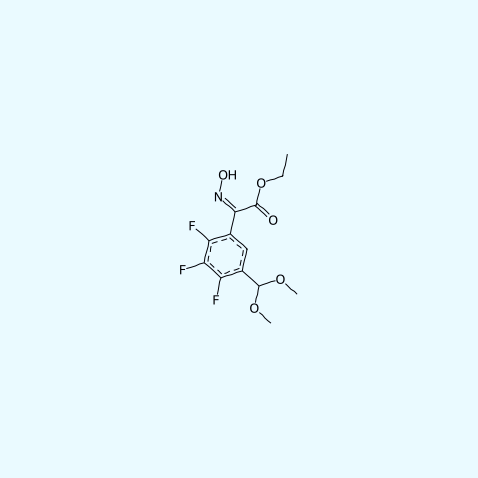 CCOC(=O)C(=NO)c1cc(C(OC)OC)c(F)c(F)c1F